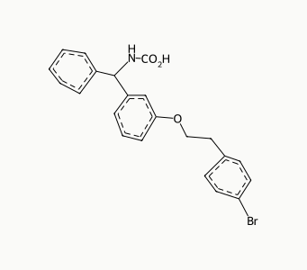 O=C(O)NC(c1ccccc1)c1cccc(OCCc2ccc(Br)cc2)c1